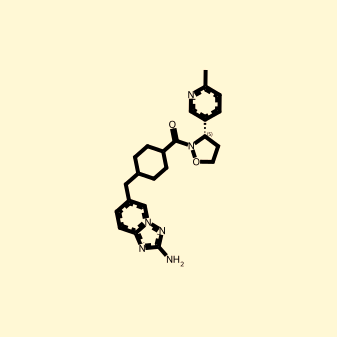 Cc1ccc([C@@H]2CCON2C(=O)C2CCC(Cc3ccc4nc(N)nn4c3)CC2)cn1